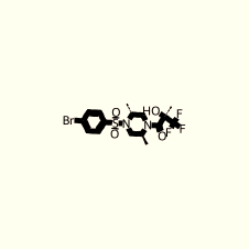 C[C@@H]1CN(C(=O)[C@@](C)(O)C(F)(F)F)[C@@H](C)CN1S(=O)(=O)c1ccc(Br)cc1